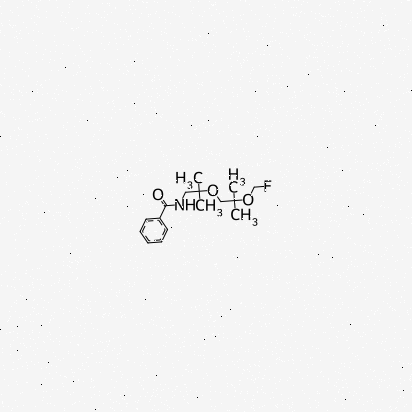 CC(C)(CNC(=O)c1ccccc1)OCC(C)(C)OCF